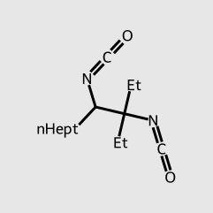 CCCCCCCC(N=C=O)C(CC)(CC)N=C=O